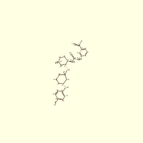 CC(=O)c1cccc(NC(=O)N[C@@H]2CCNC[C@H]2CN2CCC[C@@H](Cc3ccc(F)cc3)C2)c1